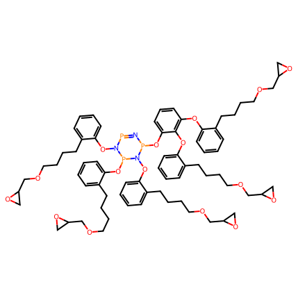 c1ccc(Oc2cccc(Op3npn(Oc4ccccc4CCCCOCC4CO4)p(Oc4ccccc4CCCCOCC4CO4)n3Oc3ccccc3CCCCOCC3CO3)c2Oc2ccccc2CCCCOCC2CO2)c(CCCCOCC2CO2)c1